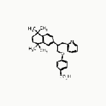 CC1(C)CCC(C)(C)c2cc(C(COc3ccc(C(=O)O)cc3)Cc3ccccn3)ccc21